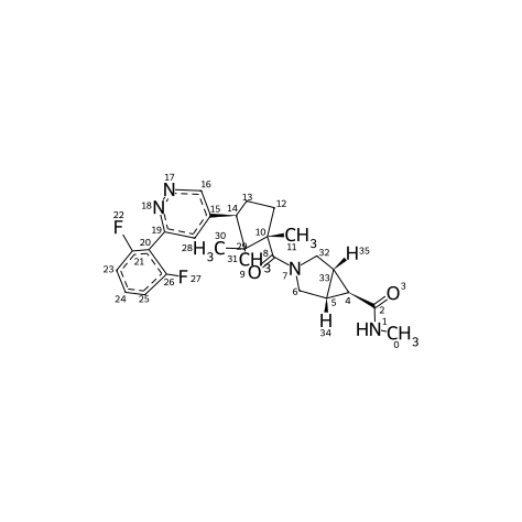 CNC(=O)[C@H]1[C@@H]2CN(C(=O)[C@@]3(C)CC[C@H](c4cnnc(-c5c(F)cccc5F)c4)C3(C)C)C[C@@H]21